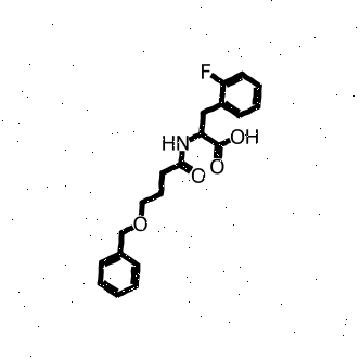 O=C(CCCOCc1ccccc1)NC(Cc1ccccc1F)C(=O)O